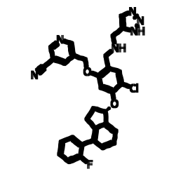 N#Cc1cncc(COc2cc(O[C@H]3CCc4c(-c5ccccc5F)cccc43)c(Cl)cc2CNCc2cnn[nH]2)c1